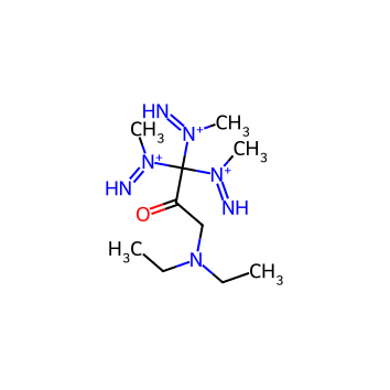 CCN(CC)CC(=O)C([N+](C)=N)([N+](C)=N)[N+](C)=N